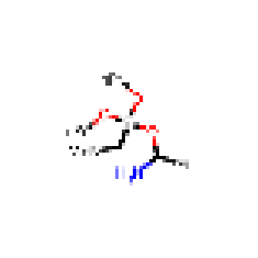 CCCO[Si](CNC)(OCCC)OC(N)CC